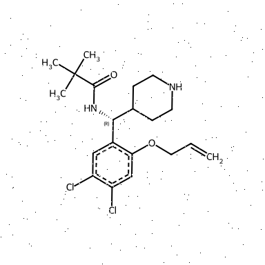 C=CCOc1cc(Cl)c(Cl)cc1[C@H](NC(=O)C(C)(C)C)C1CCNCC1